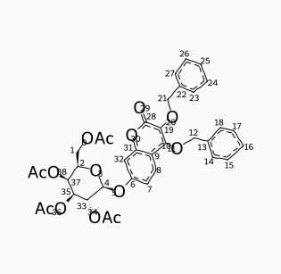 CC(=O)OC[C@H]1O[C@@H](Oc2ccc3c(OCc4ccccc4)c(OCc4ccccc4)c(=O)oc3c2)[C@H](OC(C)=O)[C@@H](OC(C)=O)[C@H]1OC(C)=O